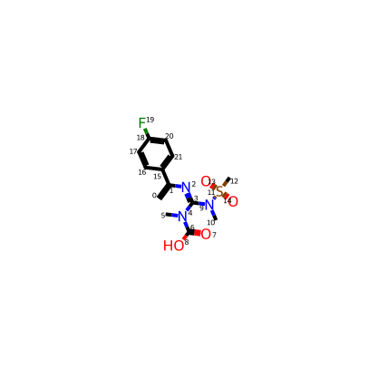 C=C(/N=C(\N(C)C(=O)O)N(C)S(C)(=O)=O)c1ccc(F)cc1